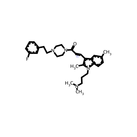 Cc1ccc2c(c1)c(/C=C/C(=O)N1CCN(CCc3cccc(F)c3)CC1)c(C)n2CCCN(C)C